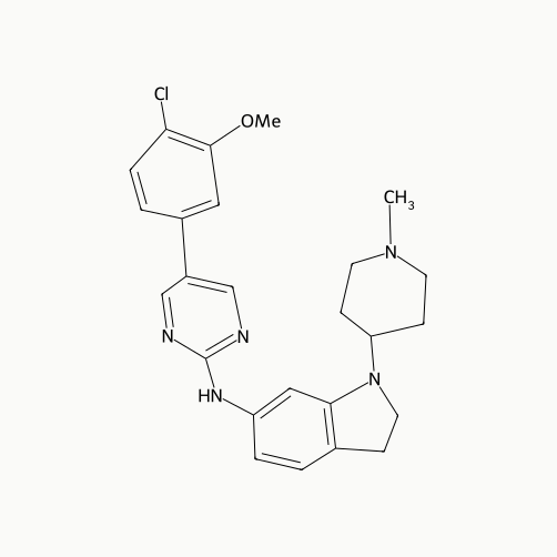 COc1cc(-c2cnc(Nc3ccc4c(c3)N(C3CCN(C)CC3)CC4)nc2)ccc1Cl